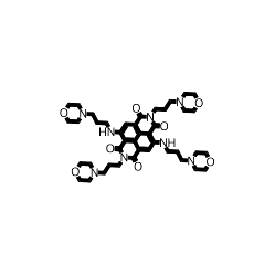 O=C1c2cc(NCCCN3CCOCC3)c3c4c(cc(NCCCN5CCOCC5)c(c24)C(=O)N1CCCN1CCOCC1)C(=O)N(CCCN1CCOCC1)C3=O